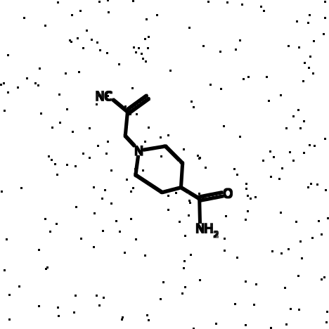 C=C(C#N)CN1CCC(C(N)=O)CC1